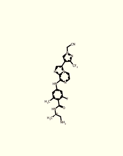 Cc1cc(Nc2nccn3c(-c4cn(CC#N)nc4C(F)(F)F)cnc23)cc(F)c1C(=O)N[C@H](C)CN